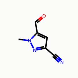 Cn1nc(C#N)cc1C=O